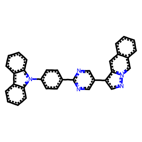 c1ccc2cn3ncc(-c4cnc(-c5ccc(-n6c7ccccc7c7ccccc76)cc5)nc4)c3cc2c1